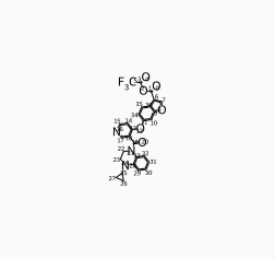 O=C(OC(=O)C(F)(F)F)c1coc2cc(Oc3ccncc3C(=O)N3CCN(C4CC4)c4ccccc43)ccc12